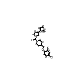 O=C(N1CCC(COc2ccc(Cl)cc2F)CC1)N1CCC(c2ccn[nH]2)C1